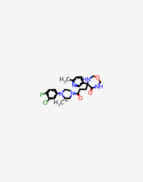 Cc1ccc(C2(CCC(=O)N3CCN(c4ccc(F)c(Cl)c4)[C@@H](C)C3)NCOCNC2=O)cn1